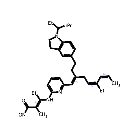 C/C=C\C(=C/C/C(=C/c1cccc(N/C(CC)=C(\C)C(=O)N=O)n1)CCc1ccc2c(c1)CCN2C(CC)CCC)CC